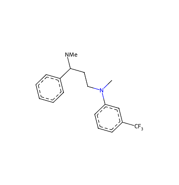 CNC(CCN(C)c1cccc(C(F)(F)F)c1)c1ccccc1